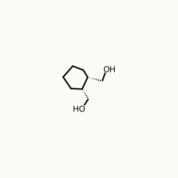 OC[C@@H]1CCCC[C@@H]1CO